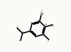 Cc1cc(C(C)C)cc(Br)c1C